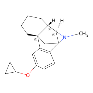 CN1[C@@H]2[C@H]3CCCC[C@]34CC21c1ccc(OC2CC2)cc14